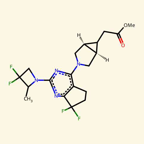 COC(=O)CC1[C@H]2CN(c3nc(N4CC(F)(F)C4C)nc4c3CCC4(F)F)C[C@@H]12